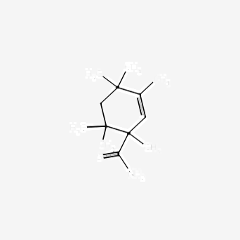 CC1=CC(C)(C(N)=S)C(C)(C)CC1(C)C